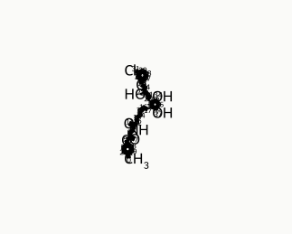 Cc1ccc(OC(=O)CNC(=O)CCC/C=C\C[C@@H]2[C@@H](/C=C/[C@@H](O)COc3cccc(Cl)c3)[C@H](O)C[C@@H]2O)cc1